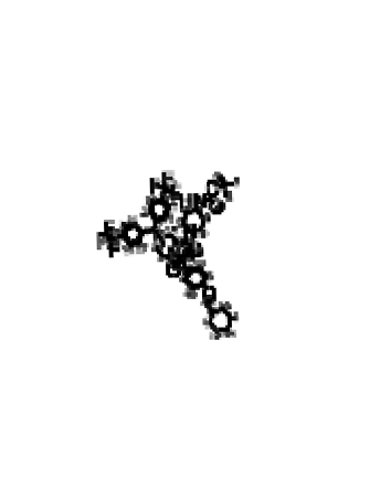 CC(C)(C)OC(=O)NC1CCN(C(=O)[C@@H]2CN(C(c3ccc(C(F)(F)F)cc3)c3ccc(C(F)(F)F)cc3)CCN2S(=O)(=O)c2ccc(OCC3CCCCC3)cc2)CC1